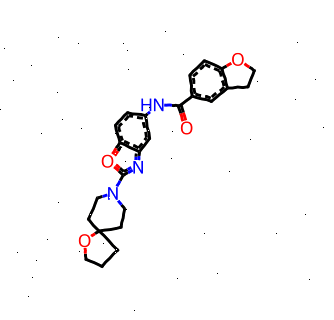 O=C(Nc1ccc2oc(N3CCC4(CCCO4)CC3)nc2c1)c1ccc2c(c1)CCO2